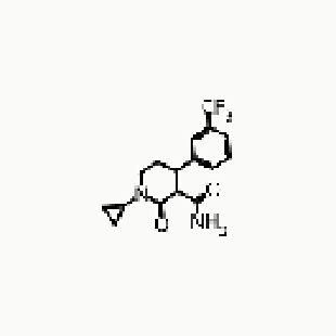 NC(=O)C1C(=O)N(C2CC2)CCC1c1cccc(C(F)(F)F)c1